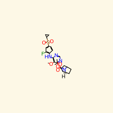 COc1c(Nc2ccc(S(=O)(=O)C3CC3)cc2F)ncnc1OC1CC2CC[C@@H](C1)N2C(=O)OC(C)C